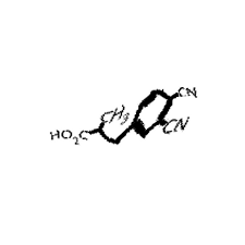 CC(Cc1ccc(C#N)c(C#N)c1)C(=O)O